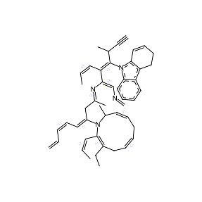 C#CC(C)/C(=C(\C=C/C)C(=C/N=C)/N=C(\C)C/C(=C\C=C/C=C)N1C(/C=C\C)=C(/CC)C/C=C\C/C=C\C1C)n1c2c(c3ccccc31)CCC=C2